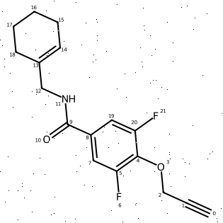 C#CCOc1c(F)cc(C(=O)NCC2=CCCCC2)cc1F